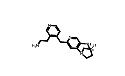 NCCc1cnccc1Cc1cc2c(cn1)N[C@H]1CCN2C1